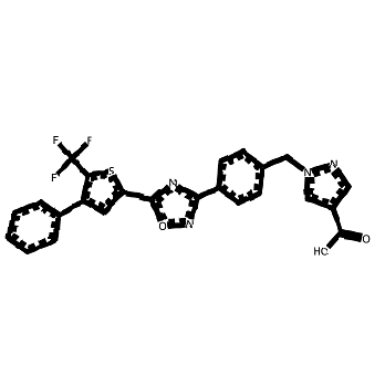 O=C(O)c1cnn(Cc2ccc(-c3noc(-c4cc(-c5ccccc5)c(C(F)(F)F)s4)n3)cc2)c1